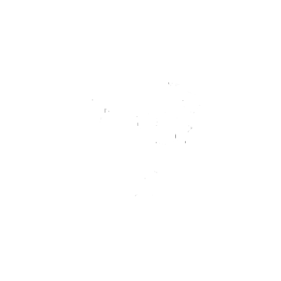 COc1ccc2c3c1OC1C(OC(=O)CCNC(=O)[C@H](C)O)=CC[C@@]4(OC(=O)CCNC(=O)[C@H](C)O)[C@@H](C2)N(C)CCC314